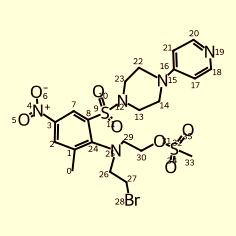 Cc1cc([N+](=O)[O-])cc(S(=O)(=O)N2CCN(c3ccncc3)CC2)c1N(CCBr)CCOS(C)(=O)=O